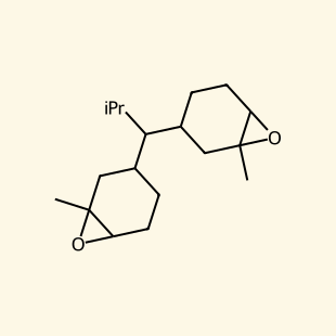 CC(C)C(C1CCC2OC2(C)C1)C1CCC2OC2(C)C1